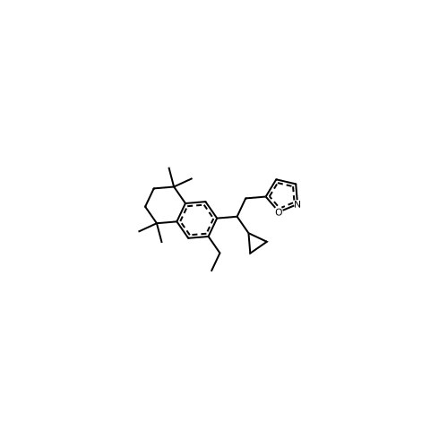 CCc1cc2c(cc1C(Cc1ccno1)C1CC1)C(C)(C)CCC2(C)C